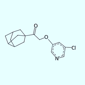 O=C(COc1cncc(Cl)c1)C12CC3CC(C1)C(C3)C2